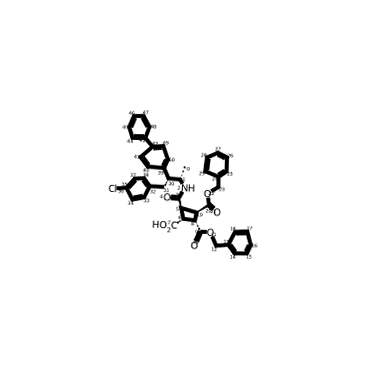 C[C@H](NC(=O)[C@@H]1[C@@H](C(=O)O)[C@@H](C(=O)OCc2ccccc2)[C@@H]1C(=O)OCc1ccccc1)[C@H](Cc1ccc(Cl)cc1)c1ccc(-c2ccccc2)cc1